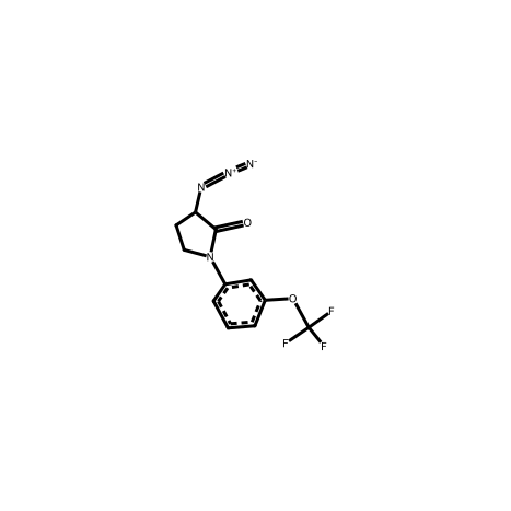 [N-]=[N+]=NC1CCN(c2cccc(OC(F)(F)F)c2)C1=O